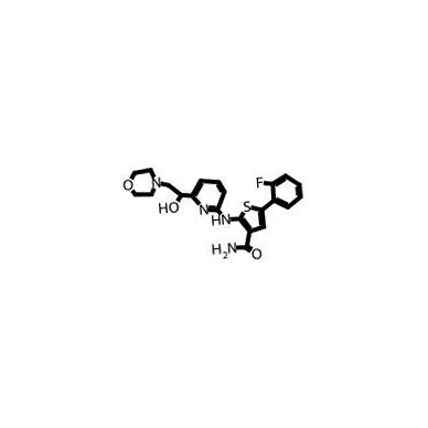 NC(=O)c1cc(-c2ccccc2F)sc1Nc1cccc(C(O)CN2CCOCC2)n1